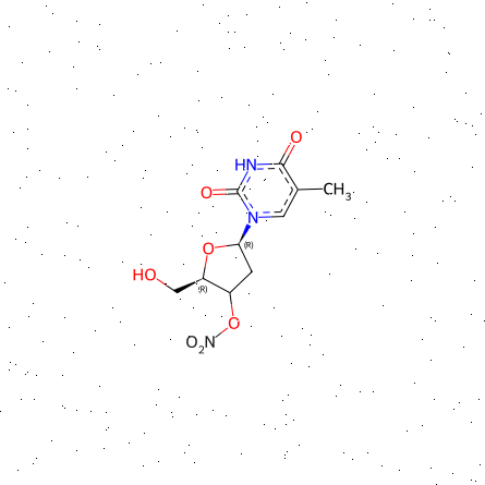 Cc1cn([C@H]2CC(O[N+](=O)[O-])[C@@H](CO)O2)c(=O)[nH]c1=O